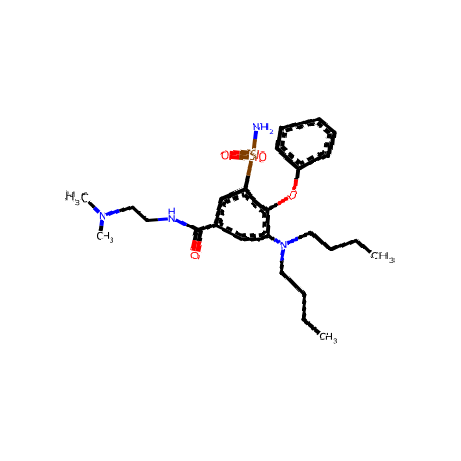 CCCCN(CCCC)c1cc(C(=O)NCCN(C)C)cc(S(N)(=O)=O)c1Oc1ccccc1